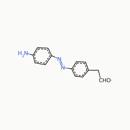 Nc1ccc(N=Nc2ccc(C[C]=O)cc2)cc1